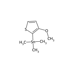 COc1ccs[c]1[Sn]([CH3])([CH3])[CH3]